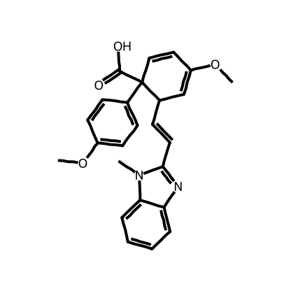 COC1=CC(C=Cc2nc3ccccc3n2C)C(C(=O)O)(c2ccc(OC)cc2)C=C1